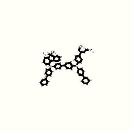 C=C/C=C(\C=C)c1ccc(N(c2ccc(-c3ccccc3)cc2)c2ccc(-c3ccc(N(c4ccc(-c5ccccc5)cc4)c4cccc5c4-c4ccccc4C5(C)C)cc3)cc2)cc1